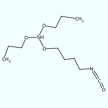 CCCO[SiH](OCCC)OCCCCN=C=O